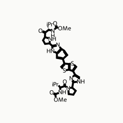 COC(=O)NC(C(=O)N1CCCC1c1nc(-c2csc3c(-c4ccc5nc(C6CCC(C(=O)[C@@H](NC(=O)OC)C(C)C)N6)[nH]c5c4)csc23)c[nH]1)C(C)C